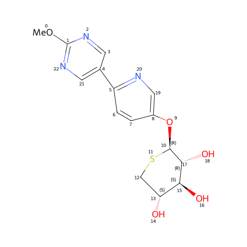 COc1ncc(-c2ccc(O[C@@H]3SC[C@@H](O)[C@H](O)[C@H]3O)cn2)cn1